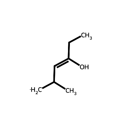 [CH2]C(C)C=C(O)CC